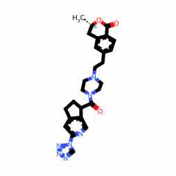 C[C@H]1Cc2cc(CCN3CCN(C(=O)C4CCc5cc(-n6cnnn6)ncc54)CC3)ccc2C(=O)O1